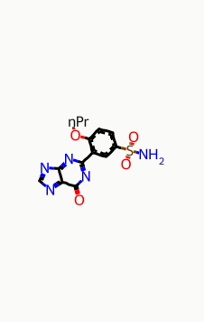 CCCOc1ccc(S(N)(=O)=O)cc1C1=NC(=O)C2=NC=NC2=N1